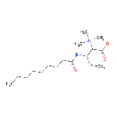 CCCCCCCCC(=O)NC(CC)C(C(=O)[O-])[N+](C)(C)C